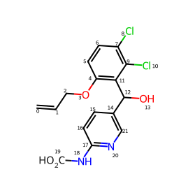 C=CCOc1ccc(Cl)c(Cl)c1C(O)c1ccc(NC(=O)O)nc1